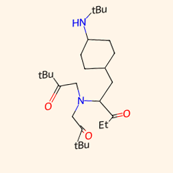 CCC(=O)C(CC1CCC(NC(C)(C)C)CC1)N(CC(=O)C(C)(C)C)CC(=O)C(C)(C)C